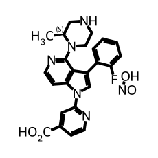 C[C@H]1CNCCN1c1nccc2c1c(-c1ccccc1F)cn2-c1cc(C(=O)O)ccn1.O=NO